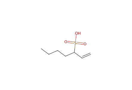 C=CC(CCCC)S(=O)(=O)O